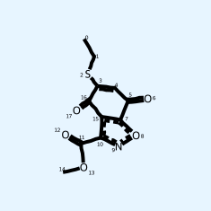 CCSC1=CC(=O)c2onc(C(=O)OC)c2C1=O